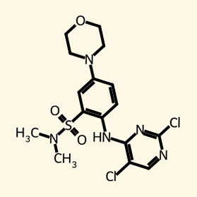 CN(C)S(=O)(=O)c1cc(N2CCOCC2)ccc1Nc1nc(Cl)ncc1Cl